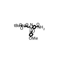 COc1ccc(COc2cc(C(N)=O)cc([N+](=O)[O-])c2NC/C=C/CNC(=O)OC(C)(C)C)cc1